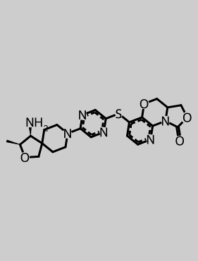 C[C@@H]1OCC2(CCN(c3cnc(Sc4ccnc5c4OCC4COC(=O)N54)cn3)CC2)[C@@H]1N